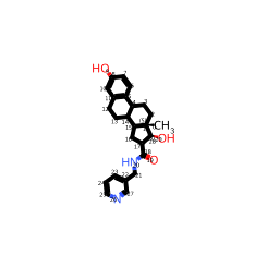 C[C@]12CCC3c4ccc(O)cc4CCC3C1CC(C(=O)NCc1cccnc1)[C@@H]2O